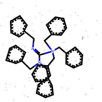 [I-].c1ccc(CN=C(N(Cc2ccccc2)Cc2ccccc2)[N+](Cc2ccccc2)(Cc2ccccc2)Cc2ccccc2)cc1